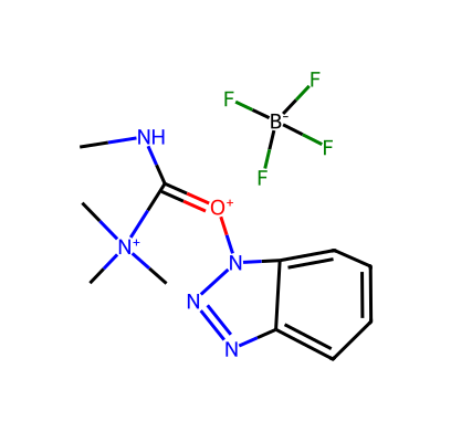 CNC(=[O+]n1nnc2ccccc21)[N+](C)(C)C.F[B-](F)(F)F